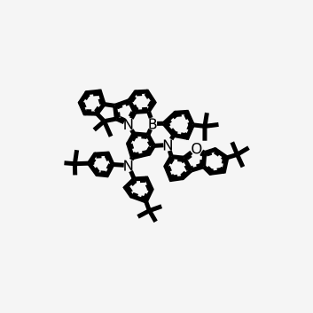 CC(C)(C)c1ccc(N(c2ccc(C(C)(C)C)cc2)c2cc3c4c(c2)-n2c5c(c6cccc(c62)B4c2ccc(C(C)(C)C)cc2N3c2cccc3c2oc2cc(C(C)(C)C)ccc23)-c2ccccc2C5(C)C)cc1